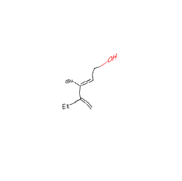 C=C(CC)/C(=C/CO)C(C)(C)C